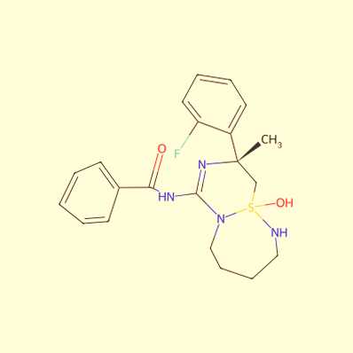 C[C@@]1(c2ccccc2F)CS2(O)NCCCCN2C(NC(=O)c2ccccc2)=N1